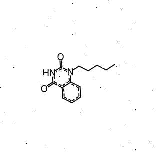 CCCCCn1c(=O)[nH]c(=O)c2ccccc21